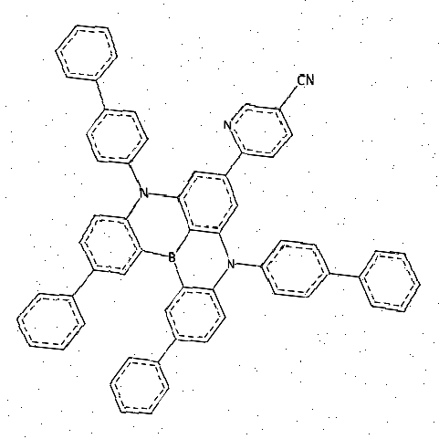 N#Cc1ccc(-c2cc3c4c(c2)N(c2ccc(-c5ccccc5)cc2)c2ccc(-c5ccccc5)cc2B4c2cc(-c4ccccc4)ccc2N3c2ccc(-c3ccccc3)cc2)nc1